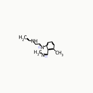 C=CNC/C=N/c1cccc(C)c1/C=N\C